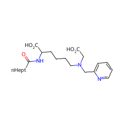 CCCCCCCC(=O)NC(CCCCN(CC(=O)O)Cc1ccccn1)C(=O)O